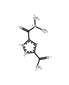 CC(=O)c1cc(C(=O)N(C)C)no1